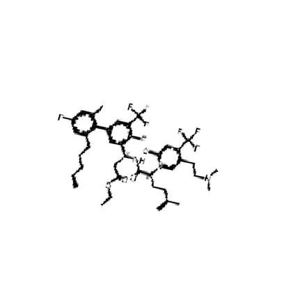 C=CCCCc1cc(F)cc(C)c1-c1cc([C@H](CC(=O)OCC)NC(=O)[C@H](CCC(=C)C)n2cc(CCN(C)C)c(C(F)(F)F)cc2=O)c(F)c(C(F)(F)F)c1